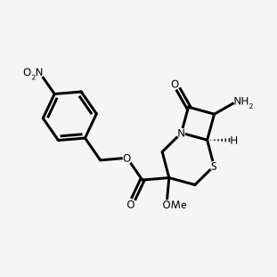 COC1(C(=O)OCc2ccc([N+](=O)[O-])cc2)CS[C@@H]2C(N)C(=O)N2C1